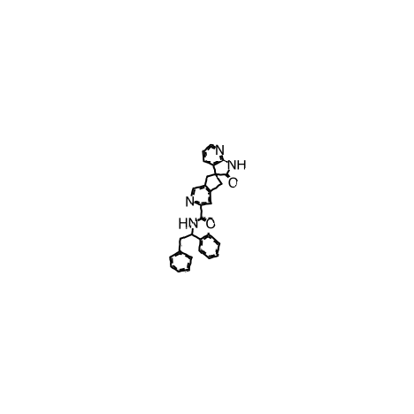 O=C(NC(Cc1ccccc1)c1ccccc1)c1cc2c(cn1)CC1(C2)C(=O)Nc2ncccc21